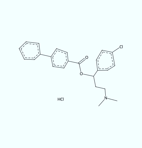 CN(C)CCC(OC(=O)c1ccc(-c2ccccc2)cc1)c1ccc(Cl)cc1.Cl